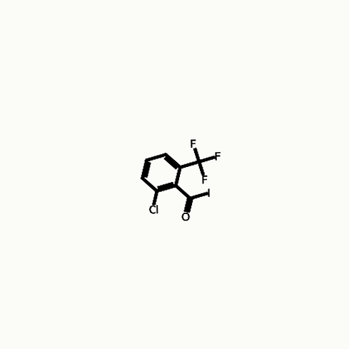 O=C(I)c1c(Cl)cccc1C(F)(F)F